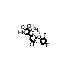 Cc1c(-c2cc(Cl)nc(Oc3ccc(F)cc3F)n2)c[nH]c(=O)c1C